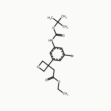 CCOC(=O)CC1(c2cc(Br)cc(NC(=O)OC(C)(C)C)c2)COC1